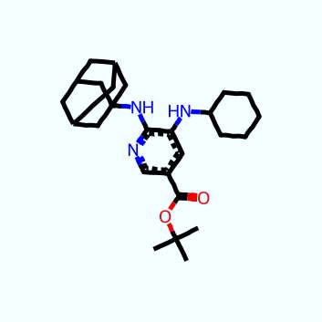 CC(C)(C)OC(=O)c1cnc(NC23CC4CC(CC(C4)C2)C3)c(NC2CCCCC2)c1